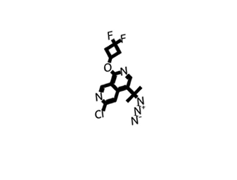 CC(C)(N=[N+]=[N-])c1cnc(OC2CC(F)(F)C2)c2cnc(Cl)cc12